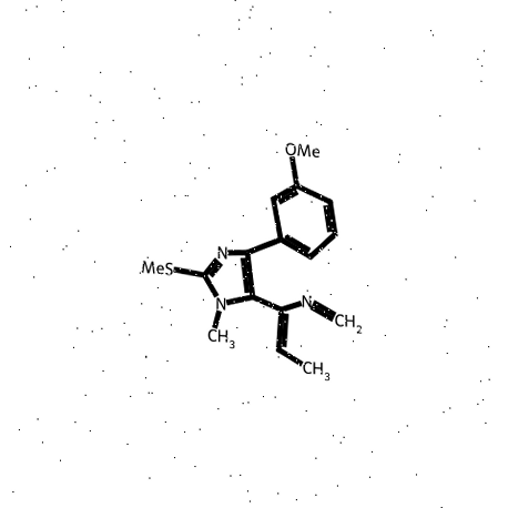 C=N/C(=C\C)c1c(-c2cccc(OC)c2)nc(SC)n1C